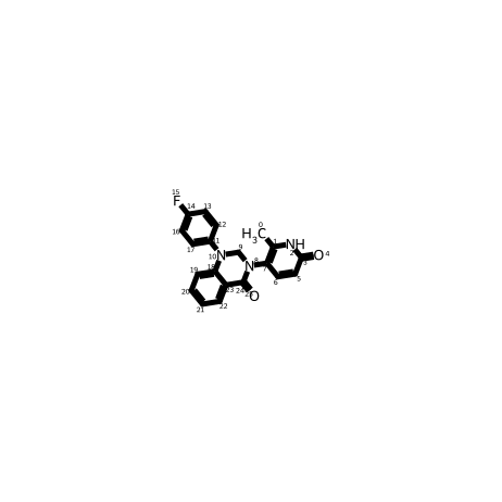 Cc1[nH]c(=O)ccc1N1CN(c2ccc(F)cc2)c2ccccc2C1=O